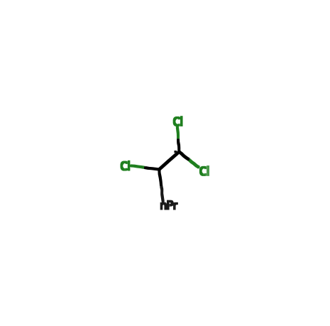 CCCC(Cl)[C](Cl)Cl